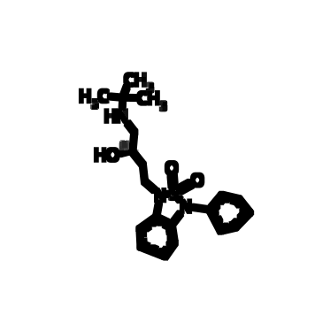 CC(C)(C)NC[C@H](O)CCN1c2ccccc2N(c2ccccc2)S1(=O)=O